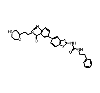 O=C(NCCc1ccccc1)Nc1nc2cc(-c3ccc4ncn(CCC5CNCCO5)c(=O)c4c3)ccc2s1